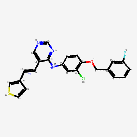 Fc1cccc(COc2ccc(Nc3ncncc3/C=C/c3ccsc3)cc2Cl)c1